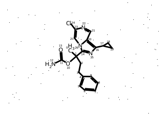 CC(CCc1ccccc1)(OC(N)=O)c1nc(C2CC2)c2cnc(Cl)cn12